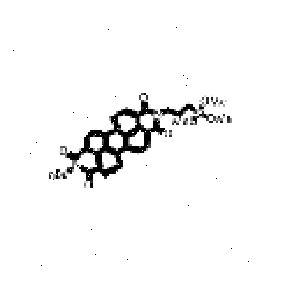 CCCCN1C(=O)c2ccc3c4ccc5c6c(ccc(c7ccc(c2c37)C1=O)c64)C(=O)N(CCC[Si](OC)(OC)OC)C5=O